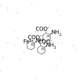 N[C@H]1CCCCC1C(=O)[O-].N[C@H]1CCCCC1C(=O)[O-].N[C@H]1CCCCC1C(=O)[O-].[Fe+3]